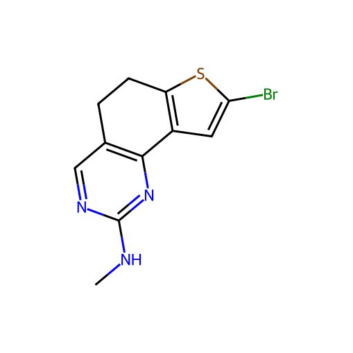 CNc1ncc2c(n1)-c1cc(Br)sc1CC2